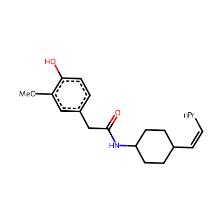 CCC/C=C\C1CCC(NC(=O)Cc2ccc(O)c(OC)c2)CC1